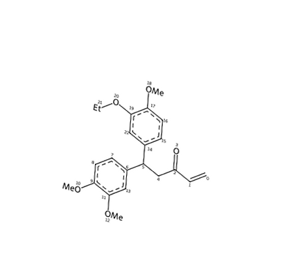 C=CC(=O)CC(c1ccc(OC)c(OC)c1)c1ccc(OC)c(OCC)c1